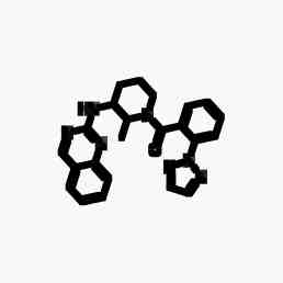 CC1C(Nc2ncc3ccccc3n2)CCCN1C(=O)c1ccccc1-n1nccn1